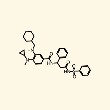 CN(c1ccc(C(=O)NC(CC(=O)NS(=O)(=O)c2ccccc2)c2ccccc2)cc1NCC1CCCCC1)C1CC1